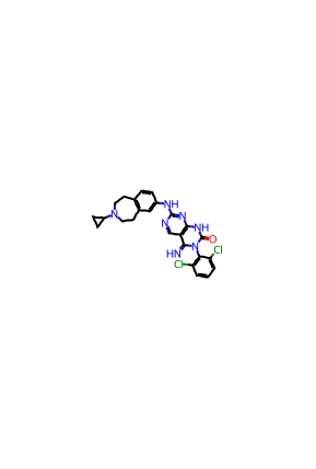 N=c1c2cnc(Nc3ccc4c(c3)CCN(C3CC3)CC4)nc2[nH]c(=O)n1-c1c(Cl)cccc1Cl